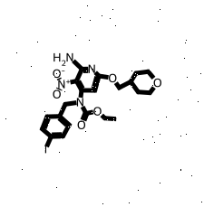 CCOC(=O)N(Cc1ccc(I)cc1)c1cc(OCC2CCOCC2)nc(N)c1[N+](=O)[O-]